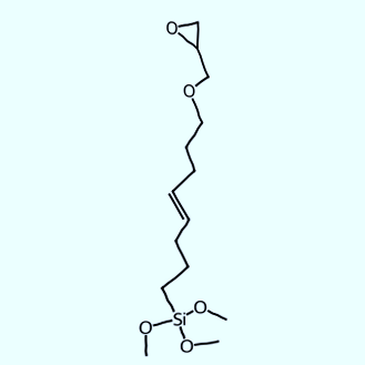 CO[Si](CCCC=CCCCOCC1CO1)(OC)OC